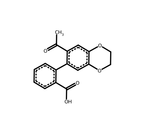 CC(=O)c1cc2c(cc1-c1ccccc1C(=O)O)OCCO2